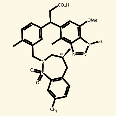 CCn1nnc2c(C)c(C(CC(=O)O)c3ccc(C)c(CN4C[C@@H](C)Cc5ccc(C(F)(F)F)cc5S4(=O)=O)c3)cc(OC)c21